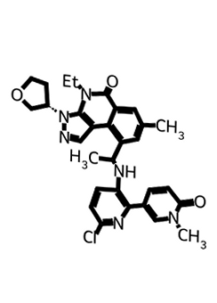 CCn1c(=O)c2cc(C)cc(C(C)Nc3ccc(Cl)nc3-c3ccc(=O)n(C)c3)c2c2cnn([C@H]3CCOC3)c21